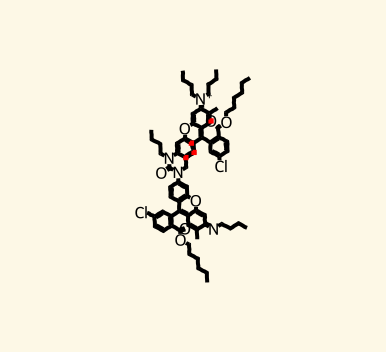 CCCCCCOC(=O)c1ccc(Cl)cc1-c1c2cc(C)c(=NCCCC)cc-2oc2cc(N(CCCC)C(=O)N(CCCC)c3ccc4c(-c5cc(Cl)ccc5C(=O)OCCCCCC)c5cc(C)c(=[N+](CCCC)CCCC)cc-5oc4c3)ccc12